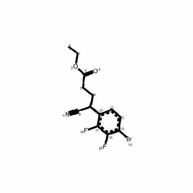 CCOC(=O)CCC(C#N)c1ccc(Br)c(F)c1F